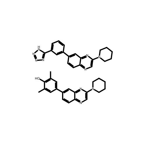 Cc1cc(-c2ccc3ncc(N4CCCCC4)nc3c2)cc(C)c1O.c1cc(-c2ccc3ncc(N4CCCCC4)nc3c2)cc(-c2nnn[nH]2)c1